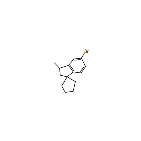 CC1CC2(CCCC2)c2ccc(Br)cc21